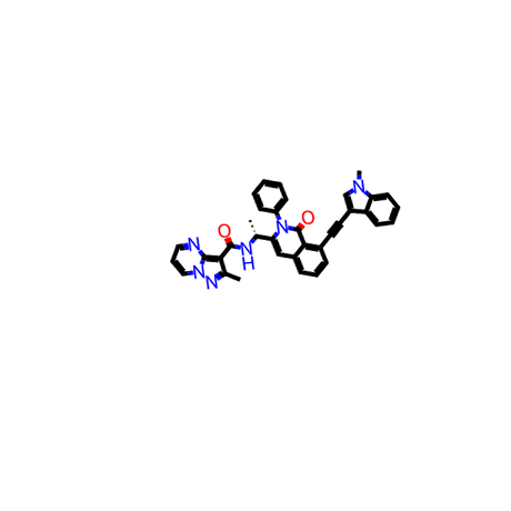 Cc1nn2cccnc2c1C(=O)N[C@H](C)c1cc2cccc(C#Cc3cn(C)c4ccccc34)c2c(=O)n1-c1ccccc1